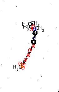 CN(C(=O)OC(C)(C)C)c1ccc(/C=C/c2ccc(OCCOCCOCCOCCOS(C)(=O)=O)cc2)cc1